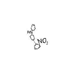 O=[N+]([O-])c1ccccc1-c1ccc(Nc2ccccc2)cc1